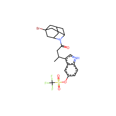 CC(CC(=O)N1C2CC3CC1CC(Br)(C3)C2)c1c[nH]c2ccc(OS(=O)(=O)C(F)(F)F)cc12